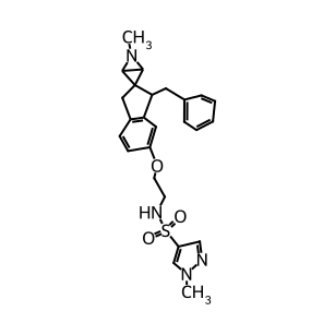 CN1C2C1C21Cc2ccc(OCCNS(=O)(=O)c3cnn(C)c3)cc2C1Cc1ccccc1